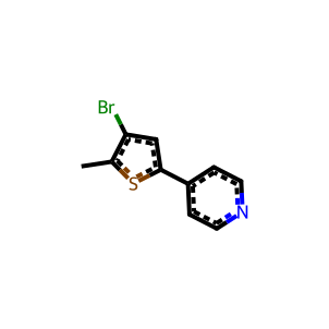 Cc1sc(-c2ccncc2)cc1Br